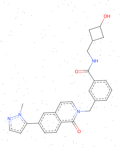 Cn1nccc1-c1ccc2c(=O)n(Cc3cccc(C(=O)NCC4CC(O)C4)c3)ccc2c1